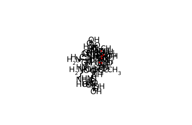 CC(C)C[C@H](NC(=O)[C@H](CCCCN)NC(=O)[C@H](CO)NC(=O)[C@@H](N)CCCCN)C(=O)NCC(=O)N[C@@H](CC(=O)O)C(=O)N[C@@H](CC(C)C)C(=O)N[C@H](C(=O)N[C@H](C(=O)N[C@H](C(=O)N[C@@H](CO)C(=O)N[C@@H](CC(C)C)C(=O)N1CCC[C@H]1C(=O)NCC(=O)NCC(=O)N[C@@H](CC(=O)O)C(=O)N[C@@H](CC(=O)O)C(=O)O)C(C)C)[C@@H](C)O)C(C)C